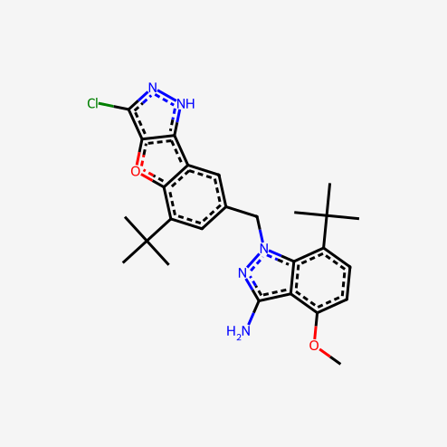 COc1ccc(C(C)(C)C)c2c1c(N)nn2Cc1cc(C(C)(C)C)c2oc3c(Cl)n[nH]c3c2c1